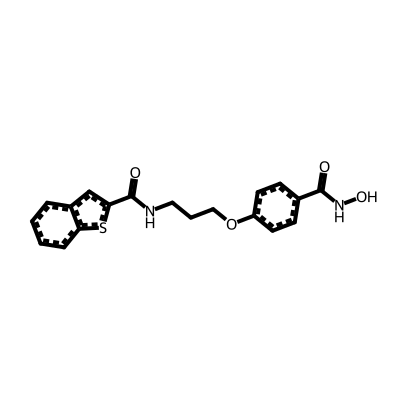 O=C(NO)c1ccc(OCCCNC(=O)c2cc3ccccc3s2)cc1